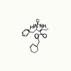 CCC1=C(C(=O)OCC2CCCCC2)C(Cc2ccccc2)NC(=O)N1